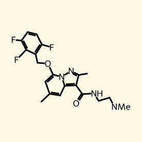 CNCCNC(=O)c1c(C)nn2c(OCc3c(F)ccc(F)c3F)cc(C)cc12